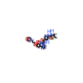 COc1c(OCCCN2CCOCC2)ccc2c1N=C(NC(=O)c1ccc(NC(=O)NC(C)C(C)F)nc1)N1CCN=C21